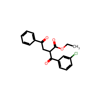 CCOC(=O)C(CC(=O)c1ccccc1)C(=O)c1cccc(Cl)c1